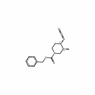 C[C@H]1CN(C(=O)OCc2ccccc2)CC[C@H]1N=[N+]=[N-]